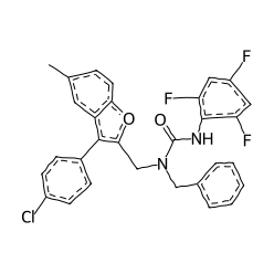 Cc1ccc2oc(CN(Cc3ccccc3)C(=O)Nc3c(F)cc(F)cc3F)c(-c3ccc(Cl)cc3)c2c1